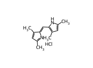 CC1=CC(C)=NC1=Cc1[nH]c(C)cc1C.Cl